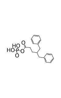 O=C(CCC(Cc1ccccc1)Cc1ccccc1)OP(=O)(O)O